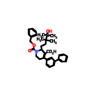 CC(C)(CCC1C(C(=O)O)=C(c2cccc(-c3ccccc3)c2)CCN1C(=O)OCc1ccccc1)[Si](C)(C)O